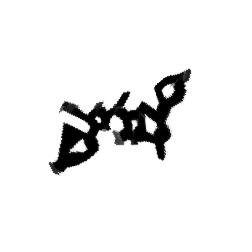 CCc1nc2c(C)cc(C3CCNCC3)cn2c1N(C)c1nc(-c2ccc(F)cc2)c(C#N)s1